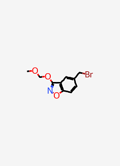 COCOc1noc2ccc(CBr)cc12